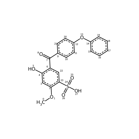 COc1cc(O)c(C(=O)c2ccc(Oc3ccccc3)cc2)cc1S(=O)(=O)O